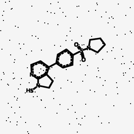 O=S(=O)(c1ccc(-c2ccnc3c2CCN3S)cc1)N1CCCC1